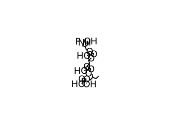 CCC(COP(=O)(O)O)COP(=O)(O)OCCOP(=O)(O)OCC(CO)CNF